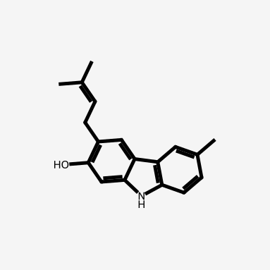 CC(C)=CCc1cc2c(cc1O)[nH]c1ccc(C)cc12